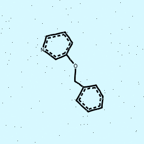 [c]1ccc(OCc2ccccc2)cn1